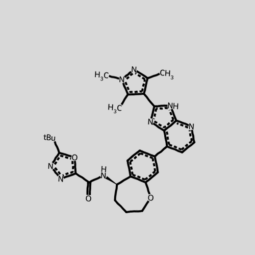 Cc1nn(C)c(C)c1-c1nc2c(-c3ccc4c(c3)OCCC[C@H]4NC(=O)c3nnc(C(C)(C)C)o3)ccnc2[nH]1